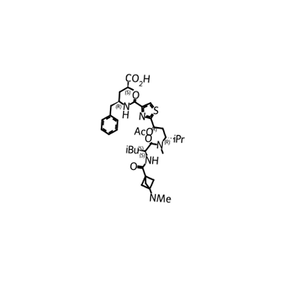 CC[C@H](C)[C@H](NC(=O)C12CC(NC)(C1)C2)C(=O)N(C)[C@H](C[C@@H](OC(C)=O)c1nc(C(=O)N[C@@H](Cc2ccccc2)C[C@H](C)C(=O)O)cs1)C(C)C